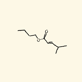 CCCCOC(=O)C=CC(C)C